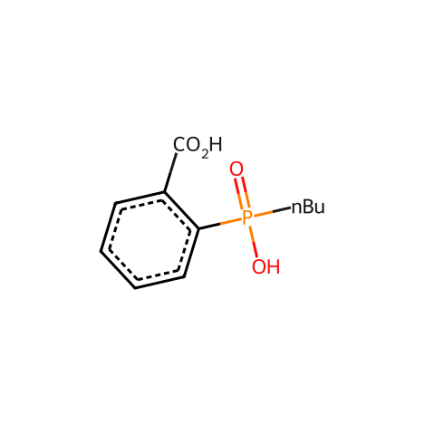 CCCCP(=O)(O)c1ccccc1C(=O)O